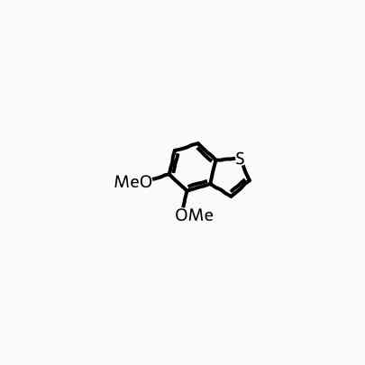 COc1ccc2sccc2c1OC